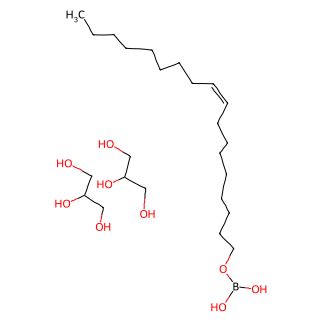 CCCCCCCC/C=C\CCCCCCCCOB(O)O.OCC(O)CO.OCC(O)CO